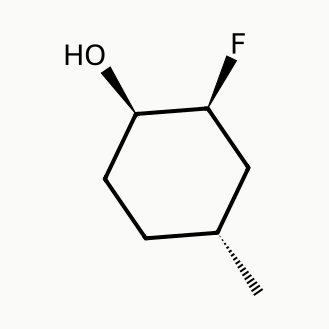 C[C@@H]1CC[C@@H](O)[C@@H](F)C1